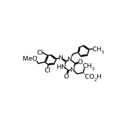 COCc1c(Cl)cc(/N=c2\[nH]c(=O)n(C[C@H](C)C(=O)O)c(=O)n2Cc2ccc(C)cc2)cc1Cl